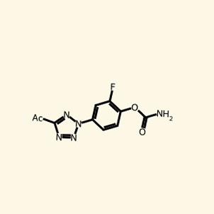 CC(=O)c1nnn(-c2ccc(OC(N)=O)c(F)c2)n1